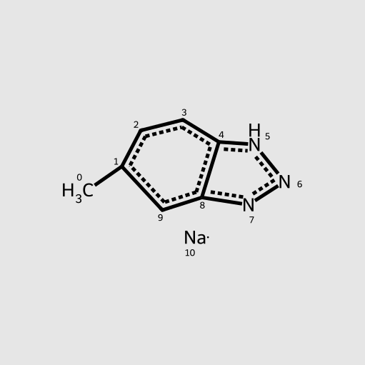 Cc1ccc2[nH]nnc2c1.[Na]